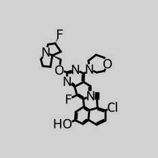 C#Cc1c(Cl)ccc2cc(O)cc(-c3ncc4c(N5CCCOCC5)nc(OC[C@@]56CCCN5C[C@H](F)C6)nc4c3F)c12